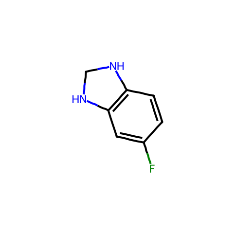 Fc1ccc2c(c1)NCN2